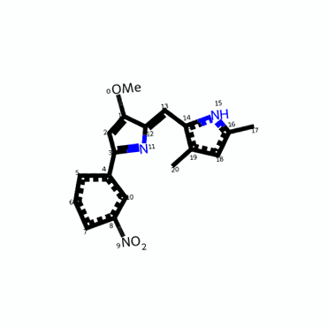 COC1=CC(c2cccc([N+](=O)[O-])c2)=NC1=Cc1[nH]c(C)cc1C